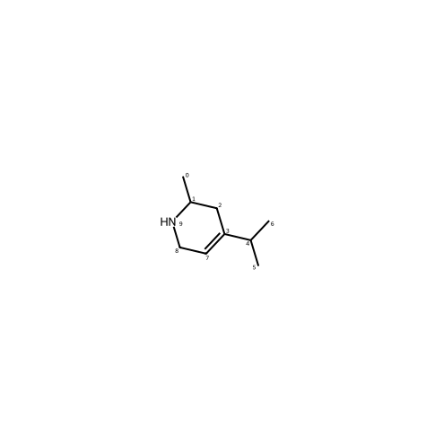 CC1CC(C(C)C)=CCN1